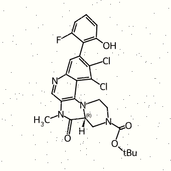 CN1C(=O)[C@H]2CN(C(=O)OC(C)(C)C)CCN2c2c1cnc1cc(-c3c(O)cccc3F)c(Cl)c(Cl)c21